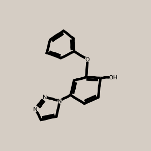 Oc1ccc(-n2ccnn2)cc1Oc1ccccc1